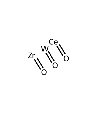 [O]=[Ce].[O]=[W].[O]=[Zr]